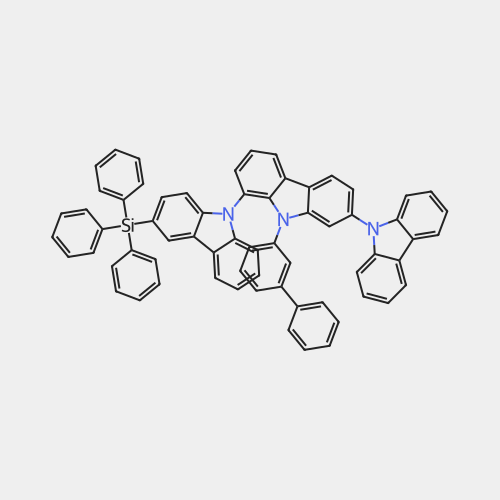 c1ccc(-c2cccc(-n3c4cc(-n5c6ccccc6c6ccccc65)ccc4c4cccc(-n5c6ccccc6c6cc([Si](c7ccccc7)(c7ccccc7)c7ccccc7)ccc65)c43)c2)cc1